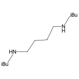 CCC(C)NCCCCNC(C)CC